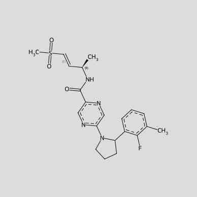 Cc1cccc(C2CCCN2c2cnc(C(=O)N[C@H](C)/C=C/S(C)(=O)=O)cn2)c1F